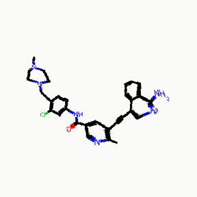 Cc1ncc(C(=O)Nc2ccc(CN3CCN(C)CC3)c(Cl)c2)cc1C#Cc1cnc(N)c2ccccc12